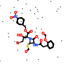 O=COc1ccccc1CC(=O)NC1C(=O)N(/C(C(=O)OCc2ccc([N+](=O)[O-])cc2)=C(/O)CBr)C1SC=O